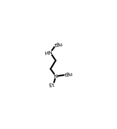 CCN(CCNC(C)(C)C)C(C)(C)C